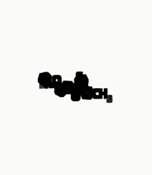 Cc1ccc(C(=O)Nc2ccc3c(c2)CCN3C(=O)Cc2ccccn2)c(N2CCSCC2)c1